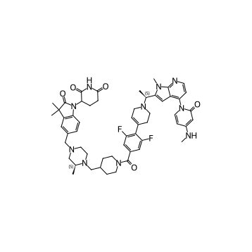 CNc1ccn(-c2ccnc3c2cc([C@H](C)N2CC=C(c4c(F)cc(C(=O)N5CCC(CN6CCN(Cc7ccc8c(c7)C(C)(C)C(=O)N8C7CCC(=O)NC7=O)C[C@@H]6C)CC5)cc4F)CC2)n3C)c(=O)c1